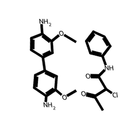 CC(=O)C(Cl)C(=O)Nc1ccccc1.COc1cc(-c2ccc(N)c(OC)c2)ccc1N